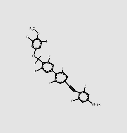 CCCCCCc1cc(F)c(C#Cc2cc(F)c(-c3cc(F)c(C(F)(F)Oc4cc(F)c(OC(F)(F)F)c(F)c4)c(F)c3)c(F)c2)c(F)c1